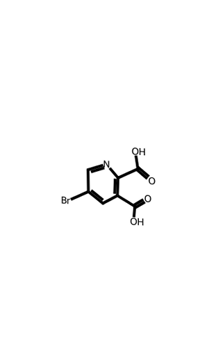 O=C(O)c1cc(Br)cnc1C(=O)O